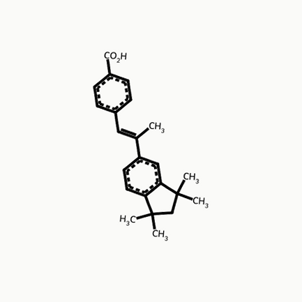 C/C(=C\c1ccc(C(=O)O)cc1)c1ccc2c(c1)C(C)(C)CC2(C)C